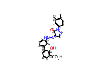 Cc1ccc(N2N=CC(=NNc3cccc(-c4cccc(C(=O)O)c4O)c3)C2=O)cc1C